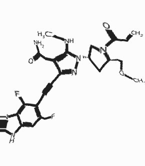 C=CC(=O)N1C[C@@H](n2nc(C#Cc3c(F)cc4[nH]cnc4c3F)c(C(N)=O)c2NC)C[C@@H]1COC